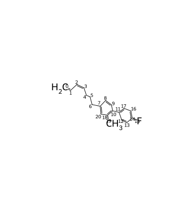 C=C/C=C\CCCc1ccc(-c2ccc(F)cc2)c(C)c1